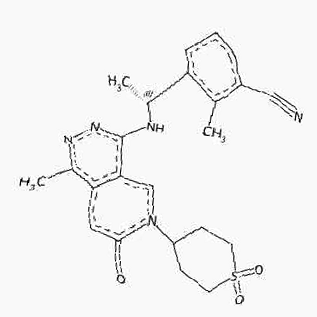 Cc1c(C#N)cccc1[C@@H](C)Nc1nnc(C)c2cc(=O)n(C3CCS(=O)(=O)CC3)cc12